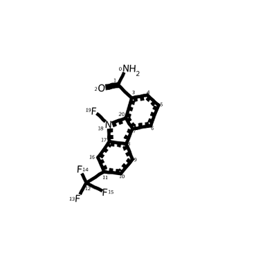 NC(=O)c1cccc2c3ccc(C(F)(F)F)cc3n(F)c12